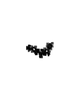 CN1CCN(c2cc(F)c3oc(Nc4nc5ccc(C(F)(F)F)cc5s4)nc3c2)CC1